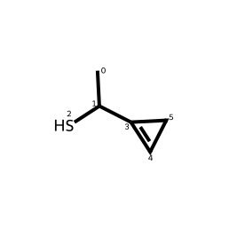 CC(S)C1=CC1